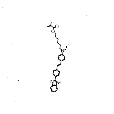 C=C(C)C(=O)OCCCCCCN(CC)c1ccc(C=Cc2ccc(-c3nc4ccccc4n3C)cc2)cc1